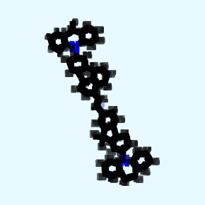 CC1c2ccccc2N(c2ccc3c(c2)-c2cccc4c(/C=C/c5ccc6c(c5)C(C)(C)c5cc(N7c8ccccc8C=Cc8ccccc87)ccc5-6)ccc-3c24)c2ccccc21